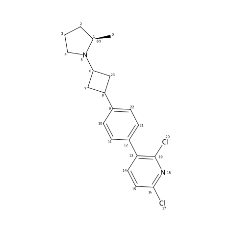 C[C@@H]1CCCN1C1CC(c2ccc(-c3ccc(Cl)nc3Cl)cc2)C1